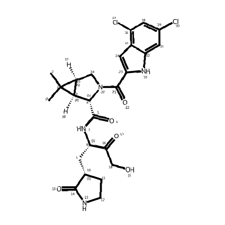 CC1(C)[C@@H]2[C@@H](C(=O)N[C@@H](C[C@@H]3CCNC3=O)C(=O)CO)N(C(=O)c3cc4c(Cl)cc(Cl)cc4[nH]3)C[C@@H]21